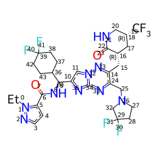 CCn1nccc1C(=O)N[C@H](c1cn2nc(C[C@H]3C[C@@H](C(F)(F)F)CNC3=O)c(CN3CCC(F)(F)C3)nc2n1)C1CCC(F)(F)CC1